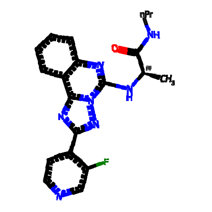 CCCNC(=O)[C@@H](C)Nc1nc2ccccc2c2nc(-c3ccncc3F)nn12